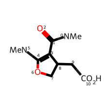 CNC(=O)C1=C(NC)OCC1CC(=O)O